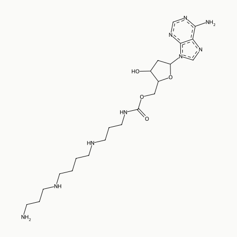 NCCCNCCCCNCCCNC(=O)OCC1OC(n2cnc3c(N)ncnc32)CC1O